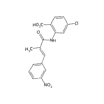 C/C(=C\c1cccc([N+](=O)[O-])c1)C(=O)Nc1cc(Cl)ccc1C(=O)O